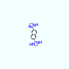 c1cc2cc(C3NCCN3)ccc2cc1C1=NCCN1